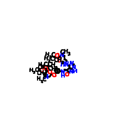 CN(CCCNc1ncnc2c1/C(=C/Nc1cccc(OCCN(C)[C@@H](COC(C)(C)C)C(=O)OC(C)(C)C)c1)C(=O)N2)C(=O)OC(C)(C)C